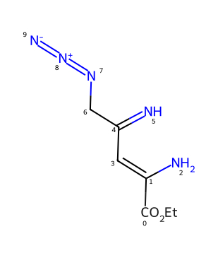 CCOC(=O)/C(N)=C/C(=N)CN=[N+]=[N-]